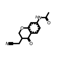 CC(=O)Nc1ccc2c(c1)OCC(CC#N)C2=O